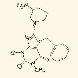 CCn1c(=O)n(C)c(=O)c2c1nc(N1CCCC(N)C1)n2Cc1ccccc1